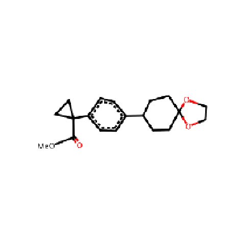 COC(=O)C1(c2ccc(C3CCC4(CC3)OCCO4)cc2)CC1